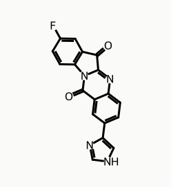 O=C1c2cc(F)ccc2-n2c1nc1ccc(-c3c[nH]cn3)cc1c2=O